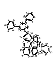 c1ccc(-c2nc(-c3ccccc3)nc(-c3ccc4c(c3)Sc3ccccc3C43c4ccccc4-n4c5ccccc5c5cccc3c54)n2)cc1